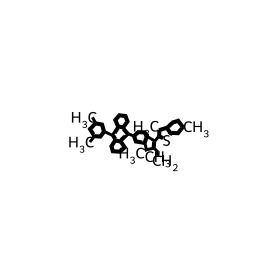 C=CC1=C(c2sc3cc(C)ccc3c2C)c2ccc(-c3c4ccccc4c(-c4cc(C)cc(C)c4)c4ccccc34)cc2C1(C)C